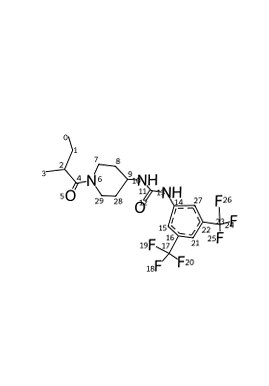 CCC(C)C(=O)N1CCC(NC(=O)Nc2cc(C(F)(F)F)cc(C(F)(F)F)c2)CC1